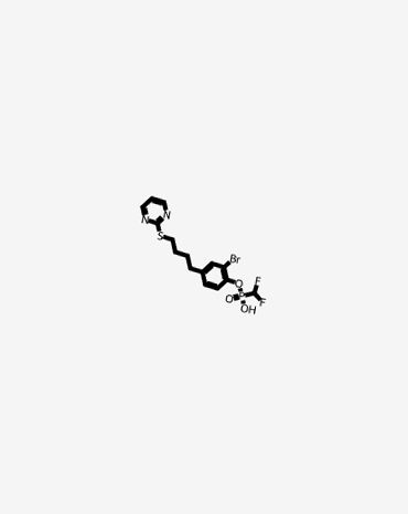 O=P(O)(Oc1ccc(CCCCSc2ncccn2)cc1Br)C(F)F